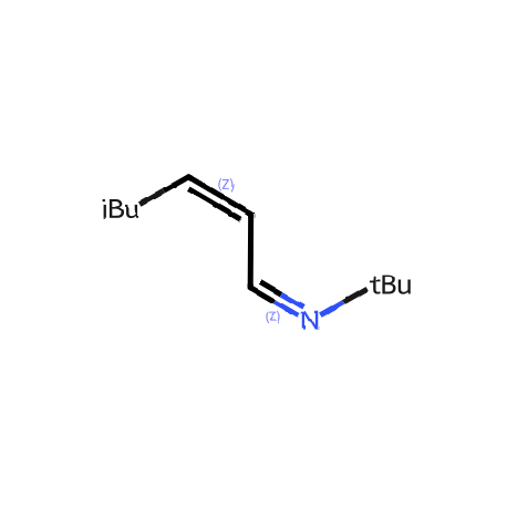 CCC(C)/C=C\C=N/C(C)(C)C